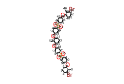 Cc1c(Br)cccc1Oc1ccc(S(=O)(=O)c2ccc(Oc3cccc(Oc4ccc(S(=O)(=O)c5ccc(Oc6cccc(Br)c6C)cc5)cc4)c3C)cc2)cc1